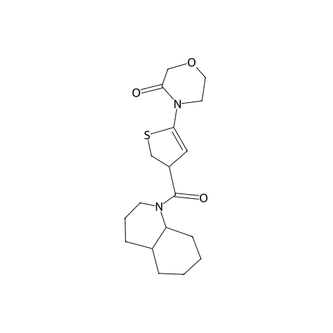 O=C1COCCN1C1=CC(C(=O)N2CCCC3CCCCC32)CS1